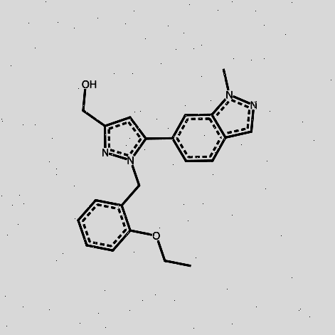 CCOc1ccccc1Cn1nc(CO)cc1-c1ccc2cnn(C)c2c1